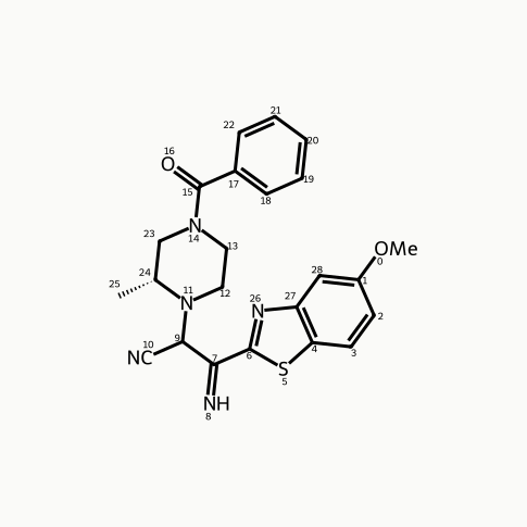 COc1ccc2sc(C(=N)C(C#N)N3CCN(C(=O)c4ccccc4)C[C@H]3C)nc2c1